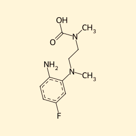 CN(CCN(C)c1cc(F)ccc1N)C(=O)O